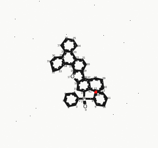 O=P(c1ccccc1)(c1ccccc1)c1cc2oc3c(ccc4c5ccccc5c5ccccc5c43)c2c2ccccc12